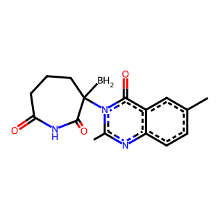 BC1(n2c(C)nc3ccc(C)cc3c2=O)CCCC(=O)NC1=O